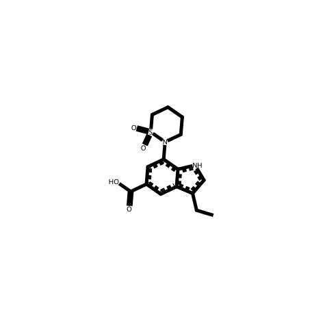 CCc1c[nH]c2c(N3CCCCS3(=O)=O)cc(C(=O)O)cc12